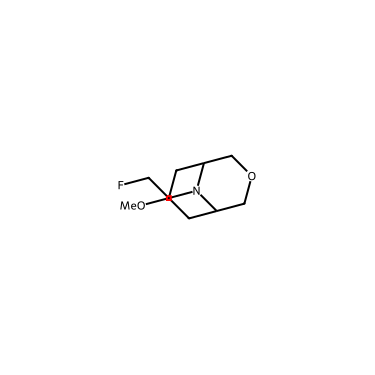 COC1CC2COCC(C1)N2CCF